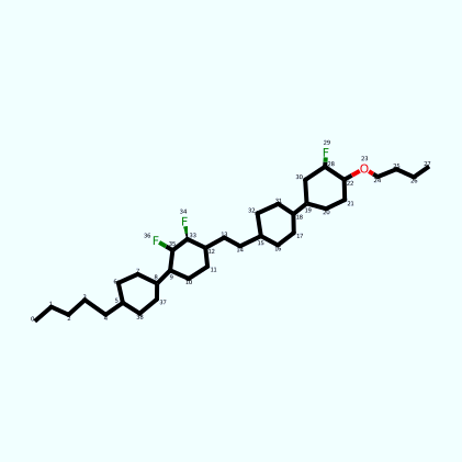 CCCCCC1CCC(C2CCC(CCC3CCC(C4CCC(OCCCC)C(F)C4)CC3)[C@H](F)C2F)CC1